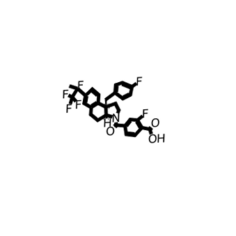 CC(F)(c1ccc2c(c1)CC[C@H]1N(C(=O)c3ccc(C(=O)O)c(F)c3)CC[C@@]21Cc1ccc(F)cc1)C(F)(F)F